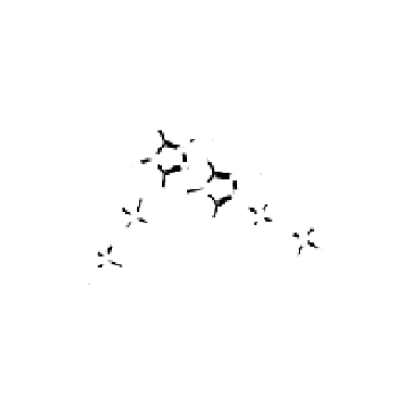 Cc1n(C)c([S-])n[n+]1C.Cc1n(C)c([S-])n[n+]1C.F[B-](F)(F)F.F[B-](F)(F)F.F[B-](F)(F)F.F[B-](F)(F)F.[Au]